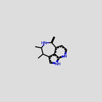 C=C1NC(C)C(C)c2c[nH]c3nccc1c23